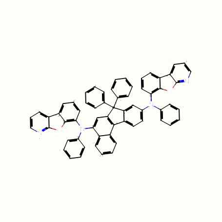 c1ccc(N(c2ccc3c(c2)C(c2ccccc2)(c2ccccc2)c2cc(N(c4ccccc4)c4cccc5c4oc4ncccc45)c4ccccc4c2-3)c2cccc3c2oc2ncccc23)cc1